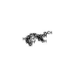 C#Cc1ccc(CNC(=O)[C@@H]2C[C@@H](O)CN2C(=O)[C@@H](NC(=O)C2CCN(C[C@H]3CC[C@H](N4CCc5[nH]c6nnc(-c7ccccc7O)cc6c5[C@H]4C)CC3)CC2)C(C)(C)C)cc1